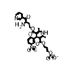 CC1=C(C(=O)OCCCO[N+](=O)[O-])C(c2cccc([N+](=O)[O-])c2)C(C(=O)OCCC(N)C(=O)c2cccnc2)=C(C)N1